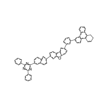 C1=Cc2c(c3ccccc3c3cc(-c4cccc(-c5ccc6oc7cc(-c8ccc9cc(-c%10nc(-c%11ccccc%11)nc(-c%11ccccc%11)n%10)ccc9c8)ccc7c6c5)c4)ccc23)CC1